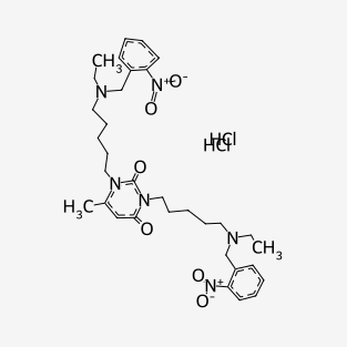 CCN(CCCCCn1c(C)cc(=O)n(CCCCCN(CC)Cc2ccccc2[N+](=O)[O-])c1=O)Cc1ccccc1[N+](=O)[O-].Cl.Cl